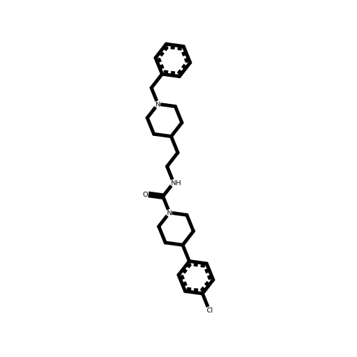 O=C(NCCC1CCN(Cc2ccccc2)CC1)N1CCC(c2ccc(Cl)cc2)CC1